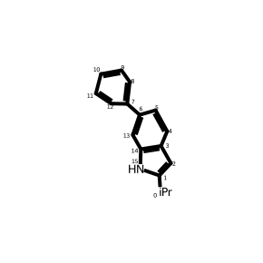 CC(C)c1cc2ccc(-c3ccccc3)cc2[nH]1